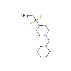 CC(C)(C)CC(F)(F)C1CCN(CC2CCCCC2)CC1